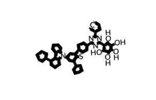 Oc1c(O)c(O)c(-c2nc(-c3ccccc3)nc(-c3ccc4c(c3)sc3c(-c5ccccc5)cc(-n5c6ccccc6c6c(-c7ccccc7)cccc65)cc34)n2)c(O)c1O